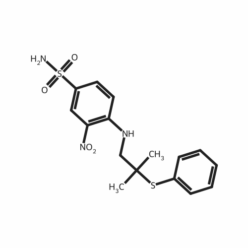 CC(C)(CNc1ccc(S(N)(=O)=O)cc1[N+](=O)[O-])Sc1ccccc1